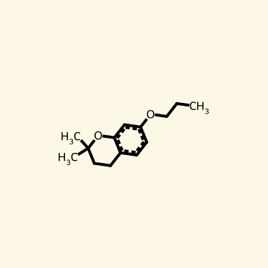 CCCOc1ccc2c(c1)OC(C)(C)CC2